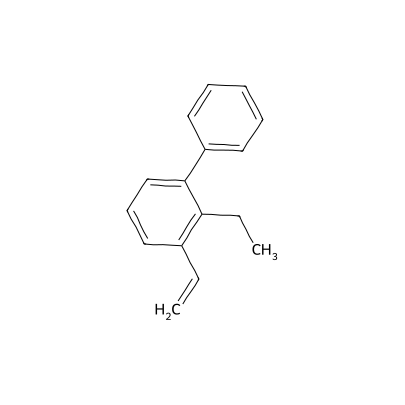 C=Cc1cccc(-c2ccccc2)c1CC